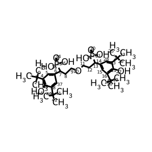 CC(C)(C)c1cc(C(CCOCCC(c2cc(C(C)(C)C)c(O)c(C(C)(C)C)c2)P(=O)(O)O)P(=O)(O)O)cc(C(C)(C)C)c1O